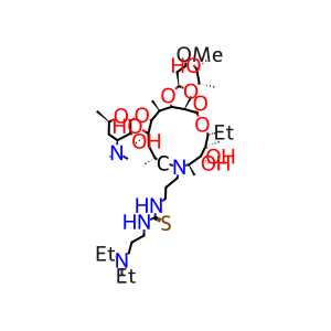 CC[C@H]1OC(=O)[C@H](C)[C@@H](O[C@@H](CCOC)O[C@@H](C)[C@@H](C)O)[C@H](C)[C@@H](O[C@@H]2O[C@H](C)C[C@H](N(C)C)[C@H]2O)[C@](C)(O)C[C@@H](C)CN(CCCNC(=S)NCCCN(CC)CC)[C@H](C)[C@@H](O)[C@]1(C)O